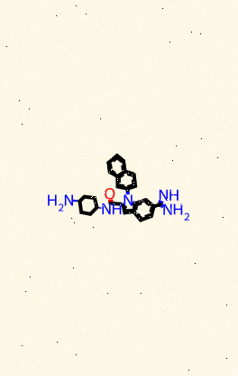 N=C(N)c1ccc2cc(C(=O)N[C@H]3CC[C@H](N)CC3)n(-c3ccc4ccccc4c3)c2c1